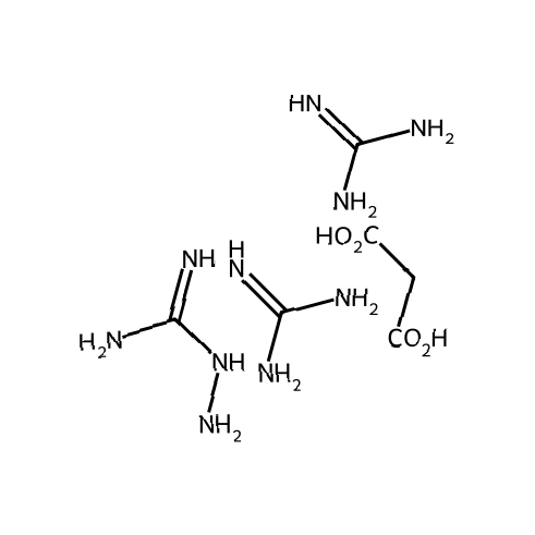 N=C(N)N.N=C(N)N.N=C(N)NN.O=C(O)CC(=O)O